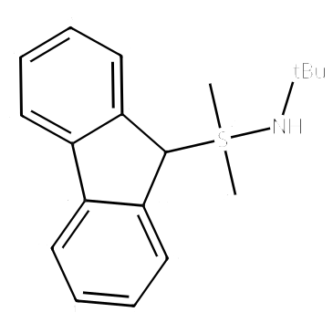 CC(C)(C)NS(C)(C)C1c2ccccc2-c2ccccc21